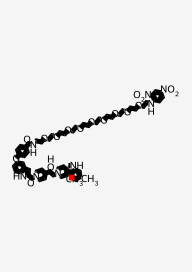 Cc1ccc2c(c1)NC[C@]21CCN(C[C@@H](O)C2CCN(C(=O)c3cc4cc(Oc5ccc(C(=O)NCCOCCOCCOCCOCCOCCOCCOCCOCCOCCNc6ccc([N+](=O)[O-])cc6[N+](=O)[O-])cc5)ccc4[nH]3)CC2)C[C@H]1C